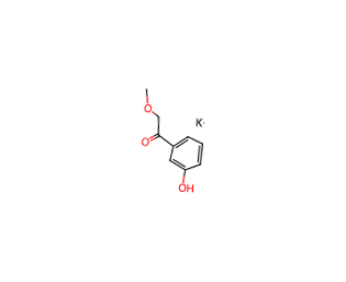 COCC(=O)c1cccc(O)c1.[K]